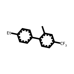 CCc1ccc(-c2ccc(C(F)(F)F)cc2C)cc1